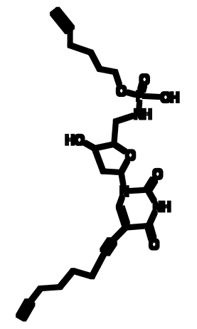 C#CCCCCC#Cc1cn(C2CC(O)C(CNP(=O)(O)OCCCCC#C)O2)c(=O)[nH]c1=O